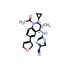 CC(=O)N1c2ccc(C3=CCOCC3)cc2[C@H](Nc2cnc(C#N)cn2)[C@@H](C)[C@@H]1C1CC1